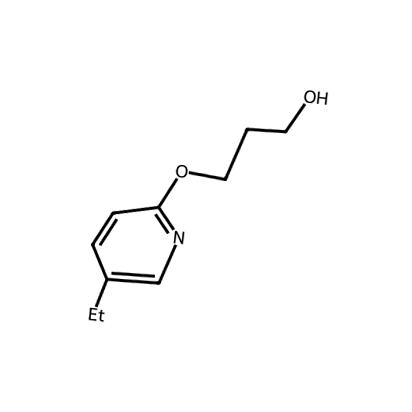 CCc1ccc(OCCCO)nc1